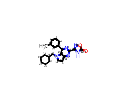 Cc1cccc(-c2nc(-c3noc(=O)[nH]3)nc3ccn(CC4CCCCC4)c23)c1